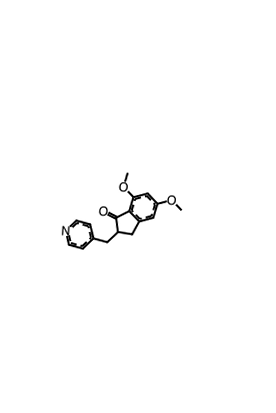 COc1cc2c(c(OC)c1)C(=O)C(Cc1ccncc1)C2